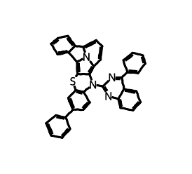 c1ccc(-c2ccc3c(c2)Sc2c(c4cccc5c6ccccc6c2n45)N3c2nc(-c3ccccc3)c3ccccc3n2)cc1